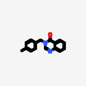 Cc1ccc(Cn2cnc3ccccc3c2=O)cc1